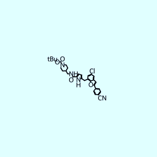 CC(C)(C)OC(=O)N1CCC(CNC(=O)c2ccc(Cc3cc(Cl)cc4cc(-c5ccc(C#N)cc5)oc34)[nH]2)CC1